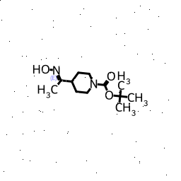 C/C(=N\O)C1CCN(C(=O)OC(C)(C)C)CC1